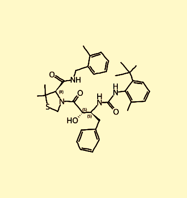 Cc1ccccc1CNC(=O)[C@H]1N(C(=O)[C@@H](O)[C@H](Cc2ccccc2)NC(=O)Nc2c(C)cccc2C(C)(C)C)CSC1(C)C